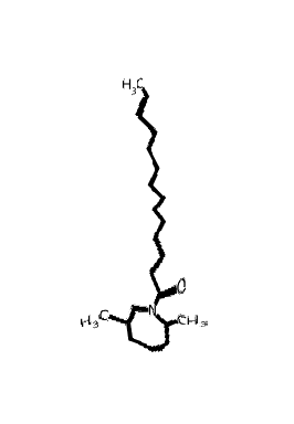 CC=CCCCCCCCCCCC(=O)N1CC(C)CCCC1C